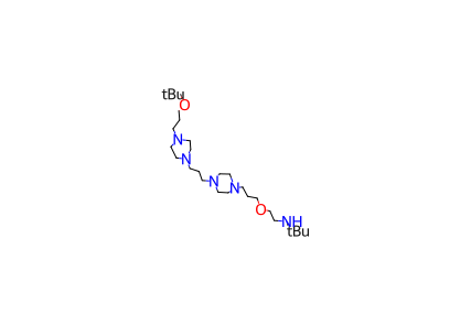 CC(C)(C)NCCOCCCN1CCN(CCCN2CCN(CCCOC(C)(C)C)CC2)CC1